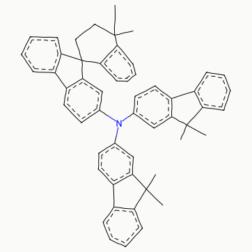 CC1(C)CCC2(c3ccccc3-c3ccc(N(c4ccc5c(c4)C(C)(C)c4ccccc4-5)c4ccc5c(c4)C(C)(C)c4ccccc4-5)cc32)c2ccccc21